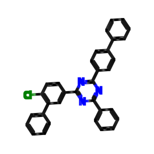 Clc1ccc(-c2nc(-c3ccccc3)nc(-c3ccc(-c4ccccc4)cc3)n2)cc1-c1ccccc1